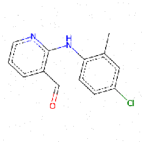 Cc1cc(Cl)ccc1Nc1ncccc1C=O